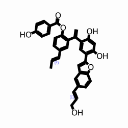 C=C(c1cc(-c2cc3cc(/C=C/CO)ccc3o2)c(O)cc1O)c1cc(/C=C/C)ccc1OC(=O)c1ccc(O)cc1